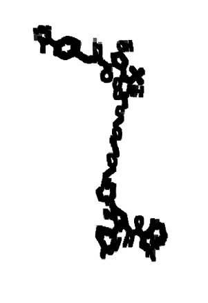 Cc1ccc(-n2nc(N3CCN(CCOCCOCCOCC(=O)N[C@H](C(=O)C4C[C@H](O)C[C@H]4C(=O)NCc4ccc(-c5scnc5C)cc4)C(C)(C)C)CC3)cc2NC(=O)c2cnn3cccnc23)nc1